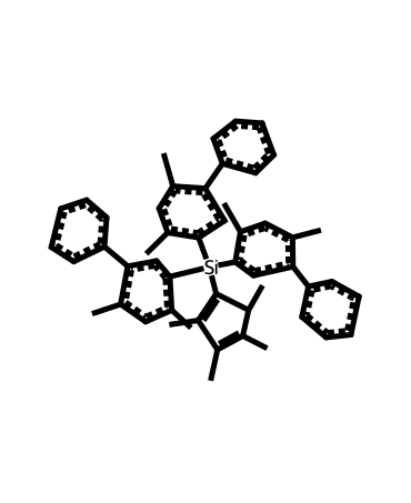 CC1=C(C)C(C)C([Si](c2cc(-c3ccccc3)c(C)cc2C)(c2cc(-c3ccccc3)c(C)cc2C)c2cc(-c3ccccc3)c(C)cc2C)=C1C